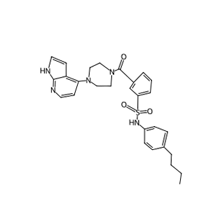 CCCCc1ccc(NS(=O)(=O)c2cccc(C(=O)N3CCN(c4ccnc5[nH]ccc45)CC3)c2)cc1